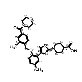 Cc1ccc(OCc2ccc(C(=O)N3CCOCC3)cc2C)c(-c2csc(N3CCC(C(=O)O)CC3)n2)c1